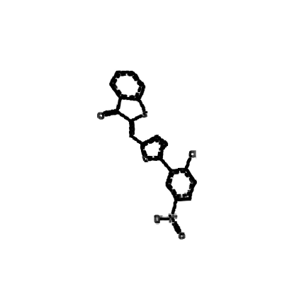 O=C1C(=Cc2ccc(-c3cc([N+](=O)[O-])ccc3Cl)o2)Sc2ccccc21